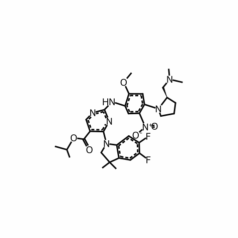 COc1cc(N2CCC[C@@H]2CN(C)C)c([N+](=O)[O-])cc1Nc1ncc(C(=O)OC(C)C)c(N2CC(C)(C)c3cc(F)c(F)cc32)n1